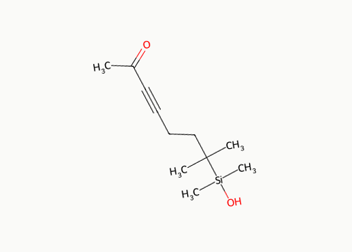 CC(=O)C#CCCC(C)(C)[Si](C)(C)O